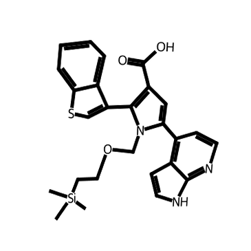 C[Si](C)(C)CCOCn1c(-c2ccnc3[nH]ccc23)cc(C(=O)O)c1-c1csc2ccccc12